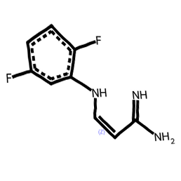 N=C(N)/C=C\Nc1cc(F)ccc1F